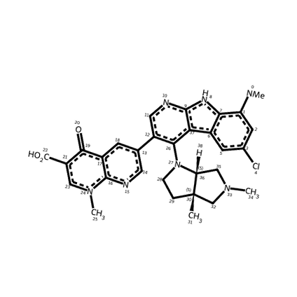 CNc1cc(Cl)cc2c1[nH]c1ncc(-c3cnc4c(c3)c(=O)c(C(=O)O)cn4C)c(N3CC[C@@]4(C)CN(C)C[C@@H]34)c12